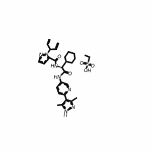 C=CC(C=C)n1nccc1C(=O)N[C@H](C(=O)Nc1ccc(-c2c(C)n[nH]c2C)nc1)C1CCCCC1.CCS(=O)(=O)O